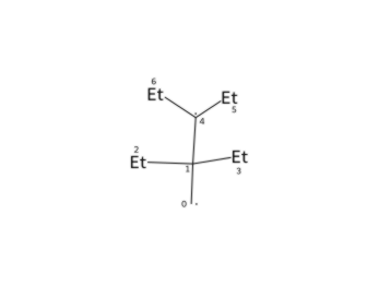 [CH2]C(CC)(CC)[C](CC)CC